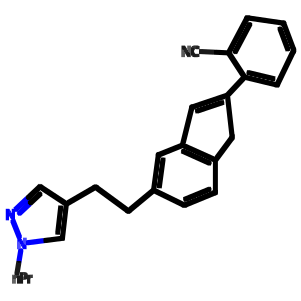 CCCn1cc(CCc2ccc3c(c2)C=C(c2ccccc2C#N)C3)cn1